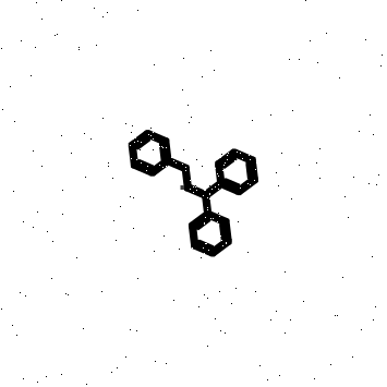 [CH](Cc1ccccc1)C(c1ccccc1)c1ccccc1